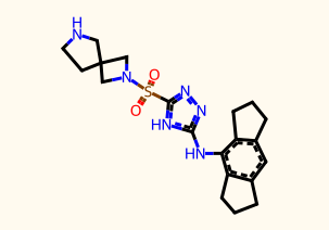 O=S(=O)(c1nnc(Nc2c3c(cc4c2CCC4)CCC3)[nH]1)N1CC2(CCNC2)C1